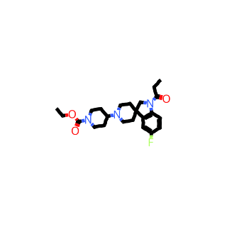 CCOC(=O)N1CCC(N2CCC3(CC2)CN(C(=O)CC)c2ccc(F)cc23)CC1